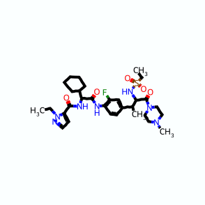 CCn1nccc1C(=O)NC(C(=O)Nc1ccc(C(C)C(NS(=O)(=O)CC)C(=O)N2CCN(C)CC2)cc1F)C1CCCCC1